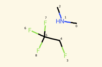 CNC.FCC(F)(F)F